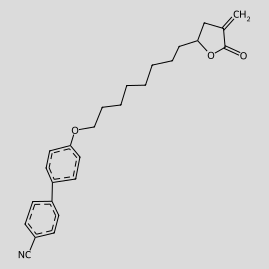 C=C1CC(CCCCCCCCOc2ccc(-c3ccc(C#N)cc3)cc2)OC1=O